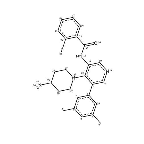 Cc1cc(C)cc(-c2cncc(NC(=O)c3ccccc3F)c2N2CCC(N)CC2)c1